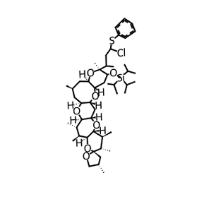 CC(CC(Cl)Sc1ccccc1)[C@]1(C)O[C@@H]2C[C@H](C)C[C@@H]3O[C@@H]4[C@@H](C)[C@H](C)[C@@H]5O[C@]6(C[C@H](C)CO6)[C@@H](C)[C@H](C)[C@H]5O[C@H]4C[C@H]3O[C@H]2C[C@H]1O[Si](C(C)C)(C(C)C)C(C)C